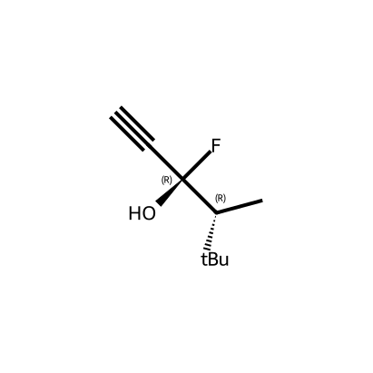 C#C[C@](O)(F)[C@H](C)C(C)(C)C